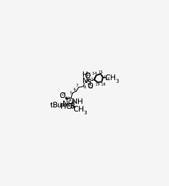 CB(O)NC(CCCCNS(=O)(=O)c1ccc(C)cc1)C(=O)NC(C)(C)C